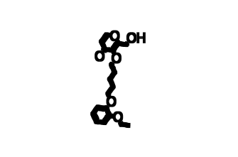 CCOc1ccccc1OCCCCCOc1c(CO)occc1=O